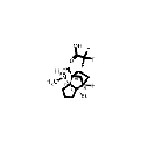 CC[C@]12CCC[C@@]1(N(C)C)[C@@H]1CC[C@H]2C1.O=C(O)C(F)(F)F